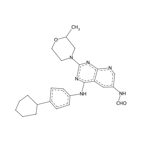 CC1CN(c2nc(Nc3ccc(C4CCCCC4)cc3)c3cc(NC=O)cnc3n2)CCO1